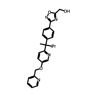 CC(C)C(C)(c1ccc(-c2noc(CO)n2)cc1)c1ccc(OCc2ccccn2)cn1